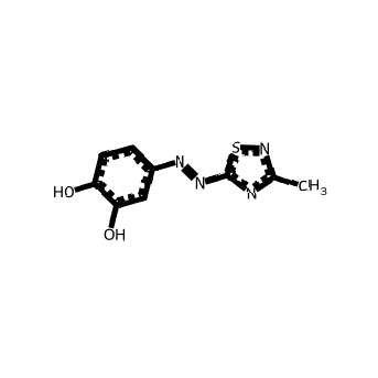 Cc1nsc(/N=N/c2ccc(O)c(O)c2)n1